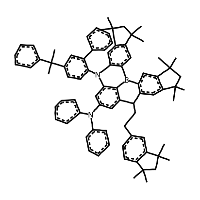 CC1(C)CC(C)(C)c2cc(CCC3c4cc5c(cc4B4c6cc7c(cc6N(c6ccc(C(C)(C)c8ccccc8)cc6-c6ccccc6)c6cc(N(c8ccccc8)c8ccccc8)cc3c64)C(C)(C)CC7(C)C)C(C)(C)CC5(C)C)ccc21